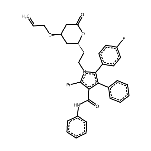 C=CCO[C@H]1CC(=O)O[C@H](CCn2c(-c3ccc(F)cc3)c(-c3ccccc3)c(C(=O)Nc3ccccc3)c2C(C)C)C1